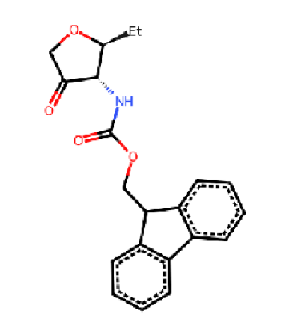 CC[C@@H]1OCC(=O)[C@H]1NC(=O)OCC1c2ccccc2-c2ccccc21